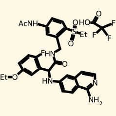 CCOc1ccc(F)c(C(Nc2ccc3c(N)nccc3c2)C(=O)NCc2cc(NC(C)=O)ccc2S(=O)(=O)CC)c1.O=C(O)C(F)(F)F